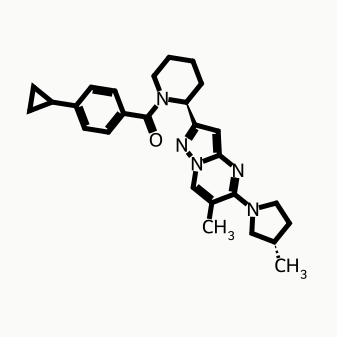 Cc1cn2nc([C@@H]3CCCCN3C(=O)c3ccc(C4CC4)cc3)cc2nc1N1CC[C@H](C)C1